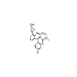 Cc1nc2c(N3CC(O)C3)cccc2c(-c2ccc(F)cc2)c1C(=O)C(F)(F)F